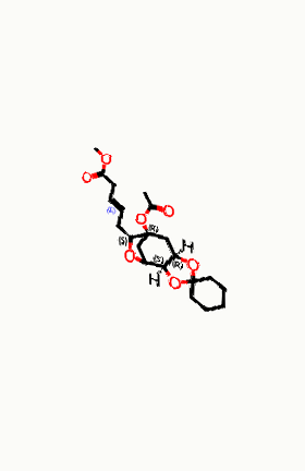 COC(=O)C/C=C/C[C@@H]1OC2C[C@@]1(OC(C)=O)C[C@H]1OC3(CCCCC3)O[C@@H]21